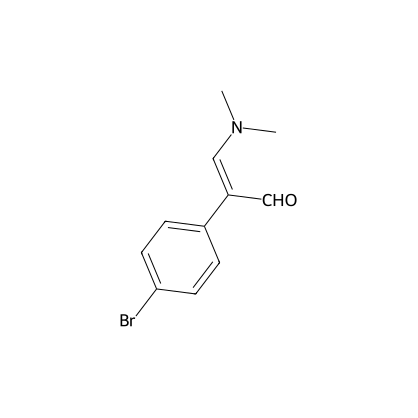 CN(C)C=C(C=O)c1ccc(Br)cc1